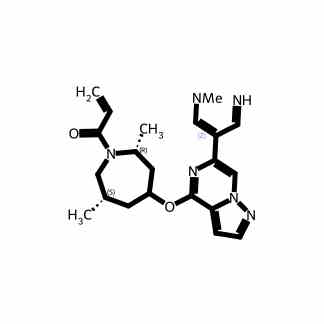 C=CC(=O)N1C[C@@H](C)CC(Oc2nc(/C(C=N)=C/NC)cn3nccc23)C[C@H]1C